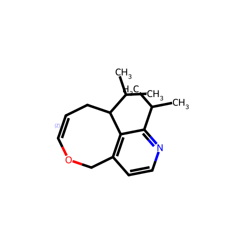 CC(C)c1nccc2c1C(C(C)C)C/C=C\OC2